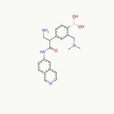 CN(C)Cc1cc(C(CN)C(=O)Nc2ccc3cnccc3c2)ccc1B(O)O